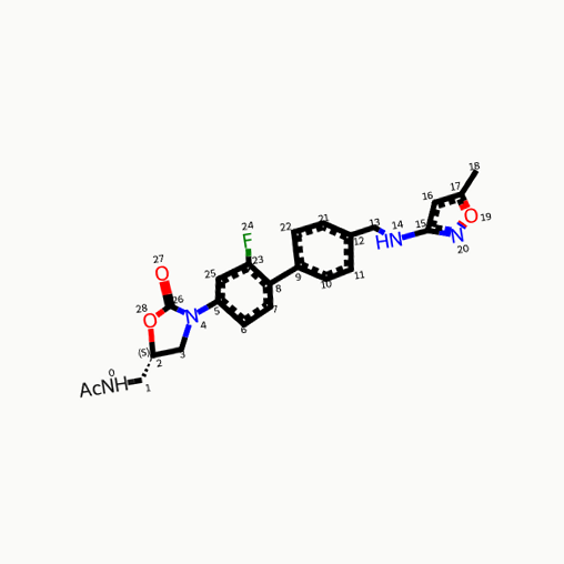 CC(=O)NC[C@H]1CN(c2ccc(-c3ccc(CNc4cc(C)on4)cc3)c(F)c2)C(=O)O1